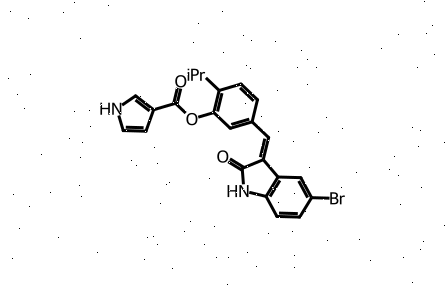 CC(C)c1ccc(C=C2C(=O)Nc3ccc(Br)cc32)cc1OC(=O)c1cc[nH]c1